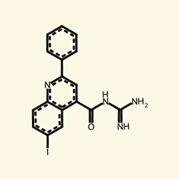 N=C(N)NC(=O)c1cc(-c2ccccc2)nc2ccc(I)cc12